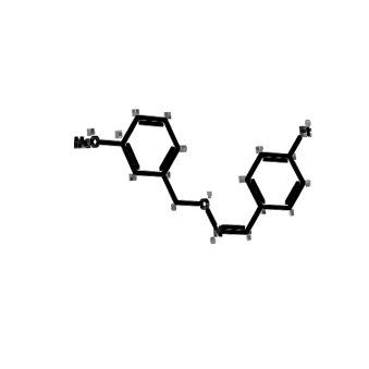 CCc1ccc(/[C]=N\OCc2cccc(OC)c2)cc1